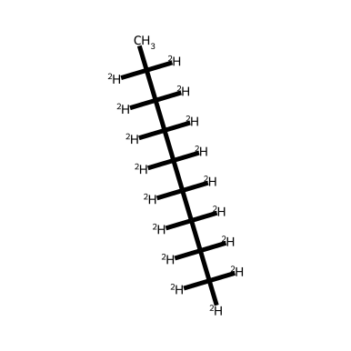 [2H]C([2H])([2H])C([2H])([2H])C([2H])([2H])C([2H])([2H])C([2H])([2H])C([2H])([2H])C([2H])([2H])C([2H])([2H])C